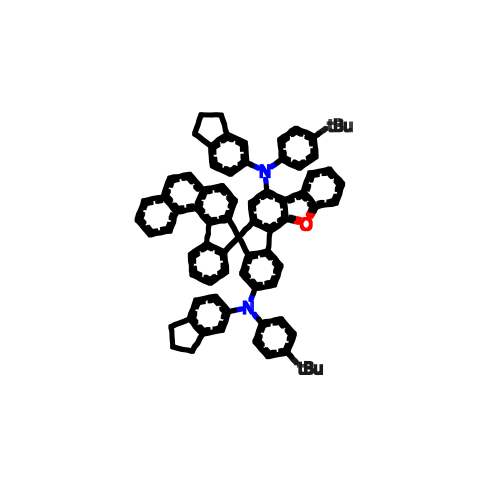 CC(C)(C)c1ccc(N(c2ccc3c(c2)CCC3)c2ccc3c(c2)C2(c4ccccc4-c4c2ccc2ccc5ccccc5c42)c2cc(N(c4ccc(C(C)(C)C)cc4)c4ccc5c(c4)CCC5)c4c(oc5ccccc54)c2-3)cc1